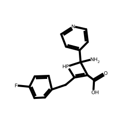 NC1(c2ccncc2)PC(Cc2ccc(F)cc2)=C1C(=O)O